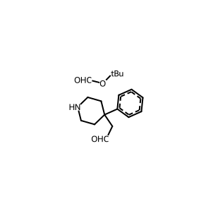 CC(C)(C)OC=O.O=CCC1(c2ccccc2)CCNCC1